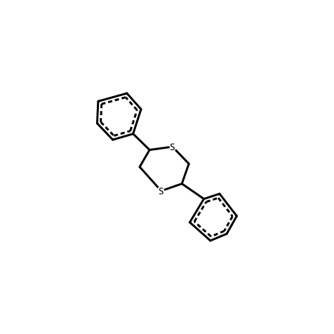 c1ccc(C2CSC(c3ccccc3)CS2)cc1